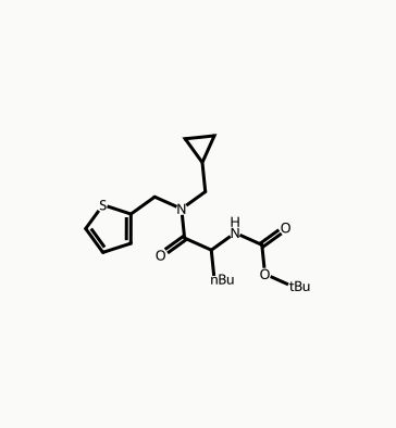 [CH2]CCCC(NC(=O)OC(C)(C)C)C(=O)N(Cc1cccs1)CC1CC1